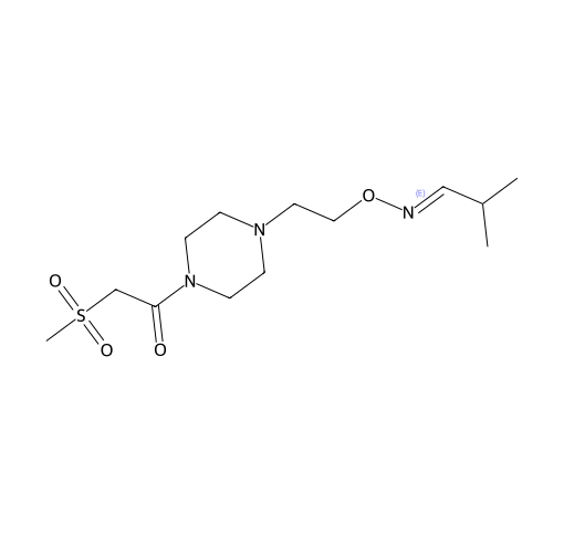 CC(C)/C=N/OCCN1CCN(C(=O)CS(C)(=O)=O)CC1